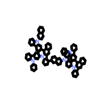 c1ccc(-n2c3ccccc3c3cc(-c4c5ccccc5cc5c6ccccc6n(-c6ccc7c(c6)c6ccccc6n7-c6ccc7cc(-c8cccc9c8c8cc%10ccccc%10c(-c%10ccc%11c%12ccccc%12n(-c%12ccc%13ccccc%13c%12)c%11c%10)c8n9-c8ccc9c%10ccccc%10n(-c%10ccccc%10)c9c8)ccc7c6)c45)ccc32)cc1